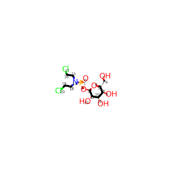 O=[P](O[C@H]1O[C@H](CO)[C@@H](O)[C@H](O)[C@@H]1O)N(CCCl)CCCl